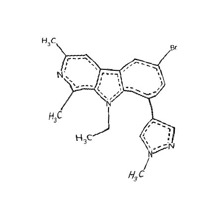 CCn1c2c(-c3cnn(C)c3)cc(Br)cc2c2cc(C)nc(C)c21